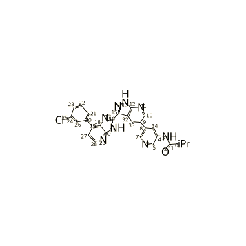 CC(C)C(=O)Nc1cncc(-c2cnc3[nH]nc(-c4nc5c(-c6cccc(Cl)c6)ccnc5[nH]4)c3c2)c1